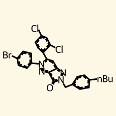 CCCCc1ccc(Cn2nc3cc(-c4ccc(Cl)cc4Cl)n(-c4ccc(Br)cc4)nc-3c2=O)cc1